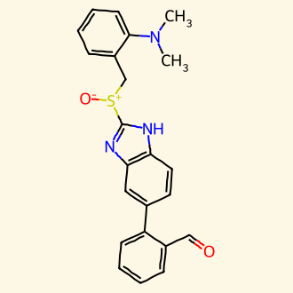 CN(C)c1ccccc1C[S+]([O-])c1nc2cc(-c3ccccc3C=O)ccc2[nH]1